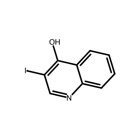 Oc1c(I)cnc2ccccc12